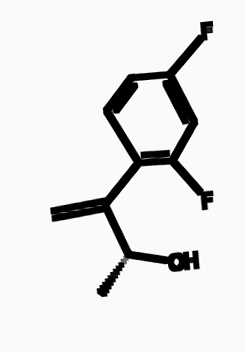 C=C(c1ccc(F)cc1F)[C@@H](C)O